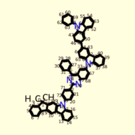 CC1(C)c2ccccc2-c2cc3c4ccccc4n(-c4ccc(-c5nc(-c6ccccc6)c6cc(-n7c8ccccc8c8cc(-c9ccc%10c(c9)c9ccccc9n%10-c9ccccc9)ccc87)ccc6n5)cc4)c3cc21